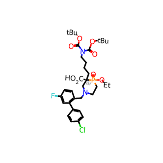 CCOP1(=O)CCN(Cc2ccc(F)cc2-c2ccc(Cl)cc2)C[C@@]1(CCCCN(C(=O)OC(C)(C)C)C(=O)OC(C)(C)C)C(=O)O